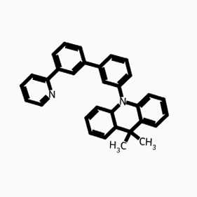 CC1(C)c2ccccc2N(c2cccc(-c3cccc(-c4ccccn4)c3)c2)C2C=CC=CC21